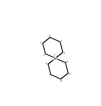 C1C[CH2][Sn]2([CH2]C1)[CH2]CCC[CH2]2